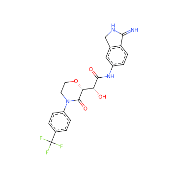 N=C1NCc2cc(NC(=O)[C@H](O)[C@H]3OCCN(c4ccc(C(F)(F)F)cc4)C3=O)ccc21